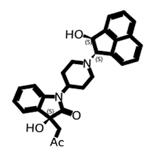 CC(=O)C[C@@]1(O)C(=O)N(C2CCN([C@H]3c4cccc5cccc(c45)[C@@H]3O)CC2)c2ccccc21